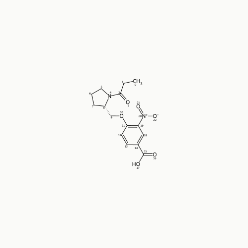 CCC(=O)N1CCC[C@H]1COc1ccc(C(=O)O)cc1[N+](=O)[O-]